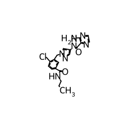 CCCNC(=O)c1ccc(Cl)c(Cn2cc(NC(=O)c3nccnc3N)cn2)c1